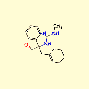 CNC(=N)NC(C=O)(CC1=CCCCC1)c1ccccc1